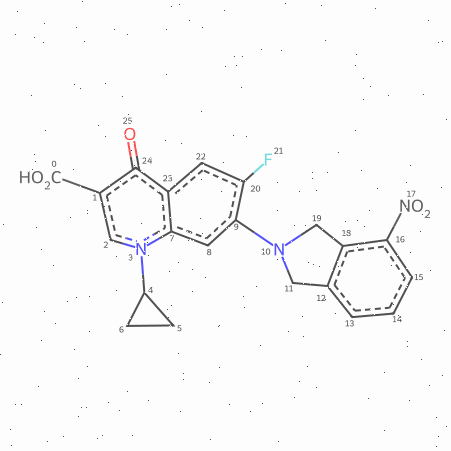 O=C(O)c1cn(C2CC2)c2cc(N3Cc4cccc([N+](=O)[O-])c4C3)c(F)cc2c1=O